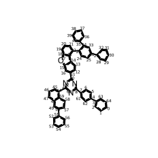 c1ccc(-c2ccc(-c3nc(-c4ccc5c(c4)oc4cccc(-c6ccc(-c7ccccc7)cc6-c6ccccc6)c45)nc(-c4cccc5cc(-c6ccccc6)ccc45)n3)cc2)cc1